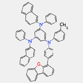 Cc1cccc(N(c2ccc(-c3cccc4c3oc3ccccc34)cc2)c2cc(N(c3ccccc3)c3ccc4ccccc4c3)cc(N(c3ccccc3)c3ccc4ccccc4c3)c2)c1